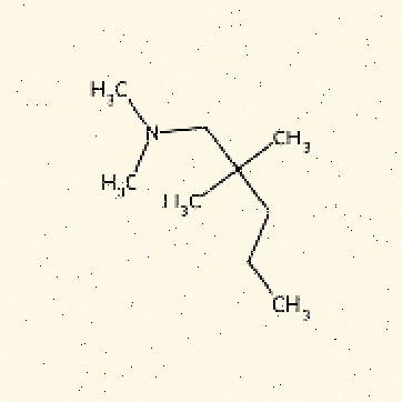 CCCC(C)(C)CN(C)C